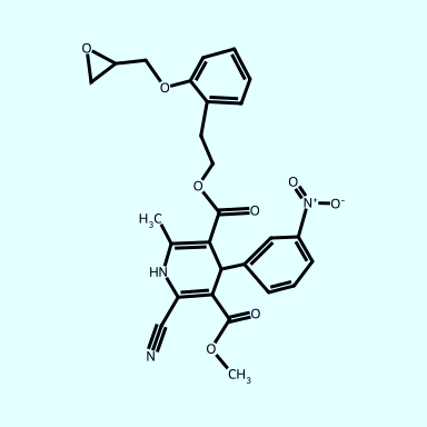 COC(=O)C1=C(C#N)NC(C)=C(C(=O)OCCc2ccccc2OCC2CO2)C1c1cccc([N+](=O)[O-])c1